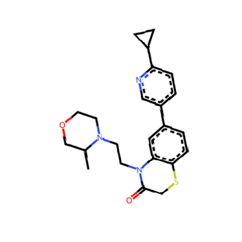 CC1COCCN1CCN1C(=O)CSc2ccc(-c3ccc(C4CC4)nc3)cc21